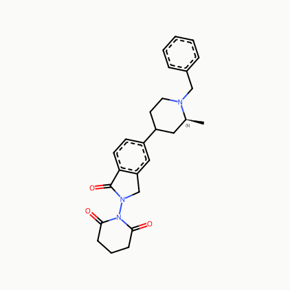 C[C@H]1CC(c2ccc3c(c2)CN(N2C(=O)CCCC2=O)C3=O)CCN1Cc1ccccc1